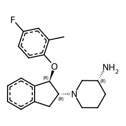 Cc1cc(F)ccc1O[C@@H]1c2ccccc2C[C@H]1N1CCC[C@@H](N)C1